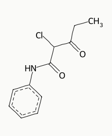 CCC(=O)C(Cl)C(=O)Nc1ccccc1